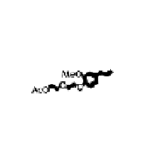 C=CCc1ccc(OCCOCCOC(C)=O)c(OC)c1